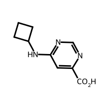 O=C(O)c1cc(NC2CCC2)ncn1